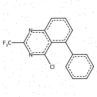 FC(F)(F)c1nc(Cl)c2c(-c3ccccc3)cccc2n1